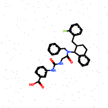 O=C(NCC(=O)N(Cc1ccccc1)C1c2ccccc2CCC1Cc1ccccc1F)Nc1cccc(C(=O)O)c1